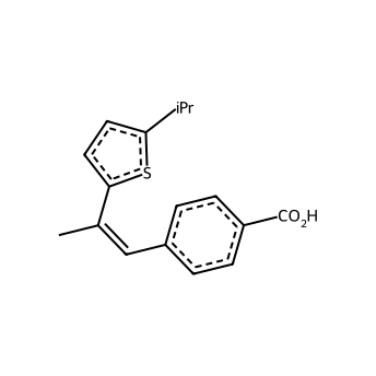 CC(=Cc1ccc(C(=O)O)cc1)c1ccc(C(C)C)s1